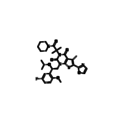 COc1ccc(F)cc1[C@H](Cn1c(=O)n(C(C)(C)C(=O)N2CCCCC2)c(=O)c2c(C)c(-c3ncco3)sc21)OC(C)C